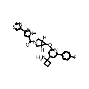 Cn1nc(-c2cscn2)cc1C(=O)N1C[C@@H]2C(Oc3cc(C4(N)CCC4)cc(-c4ccc(F)cc4)n3)[C@@H]2C1